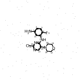 Nc1ccc(F)c(Nc2nc(Cl)ncc2N2CCOCC2)c1